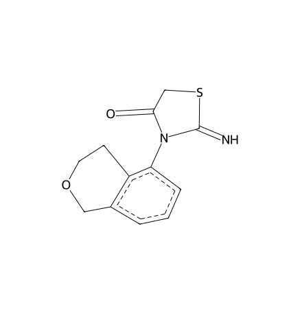 N=C1SCC(=O)N1c1cccc2c1CCOC2